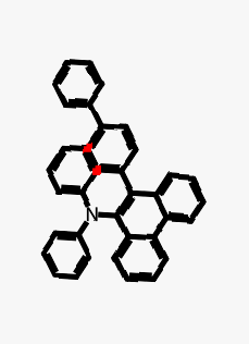 c1ccc(-c2ccc(-c3c(N(c4ccccc4)c4ccccc4)c4ccccc4c4ccccc34)cc2)cc1